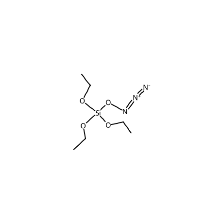 CCO[Si](OCC)(OCC)ON=[N+]=[N-]